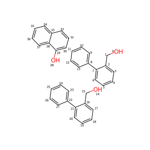 OCc1ccccc1-c1ccccc1.OCc1ccccc1-c1ccccc1.Oc1cccc2ccccc12